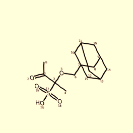 CC(=O)C(C)(OCC12CC3CC(CC(C3)C1)C2)S(=O)(=O)O